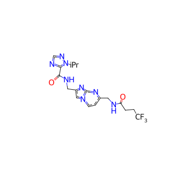 CC(C)n1ncnc1C(=O)NCc1cn2ccc(CNC(=O)CCC(F)(F)F)nc2n1